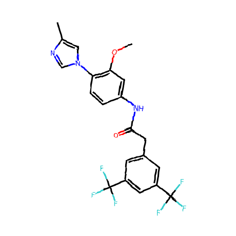 COc1cc(NC(=O)Cc2cc(C(F)(F)F)cc(C(F)(F)F)c2)ccc1-n1cnc(C)c1